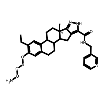 CCc1cc2c(cc1OSOON)CCC1C2CC[C@]2(C)c3n[nH]c(C(=O)NCc4cccnc4)c3CC12